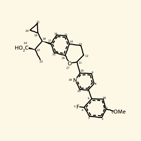 COc1ccc(F)c(-c2ccc(C3CCc4ccc([C@H](C5CC5)[C@@H](C)C(=O)O)cc4O3)nc2)c1